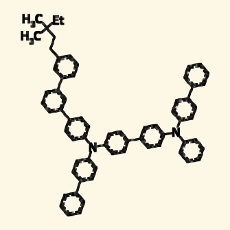 CCC(C)(C)CCc1cccc(-c2cccc(-c3ccc(N(c4ccc(-c5ccccc5)cc4)c4ccc(-c5ccc(N(c6ccccc6)c6ccc(-c7ccccc7)cc6)cc5)cc4)cc3)c2)c1